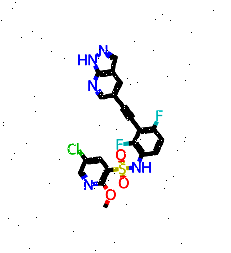 COc1ncc(Cl)cc1S(=O)(=O)Nc1ccc(F)c(C#Cc2cnc3[nH]ncc3c2)c1F